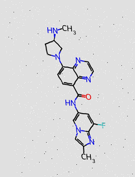 CN[C@@H]1CCN(c2ccc(C(=O)Nc3cc(F)c4nc(C)cn4c3)c3nccnc23)C1